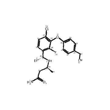 CC[C@@H](N[C@@H](C)CC(N)=O)c1ccc(Cl)c(Oc2ccc(CC#N)cc2)c1F